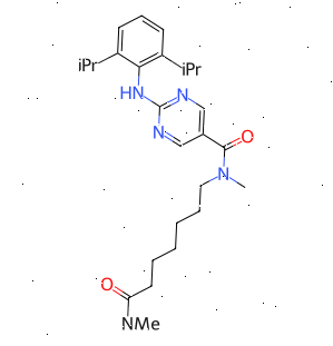 CNC(=O)CCCCCCN(C)C(=O)c1cnc(Nc2c(C(C)C)cccc2C(C)C)nc1